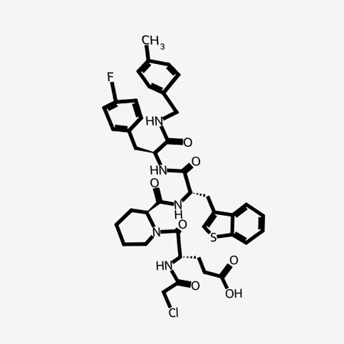 Cc1ccc(CNC(=O)[C@H](Cc2ccc(F)cc2)NC(=O)[C@H](Cc2csc3ccccc23)NC(=O)[C@@H]2CCCCN2C(=O)[C@H](CCC(=O)O)NC(=O)CCl)cc1